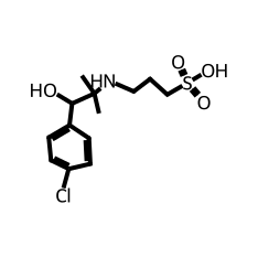 CC(C)(NCCCS(=O)(=O)O)C(O)c1ccc(Cl)cc1